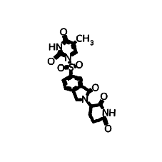 Cc1cn(S(=O)(=O)c2ccc3c(c2)C(=O)N(C2CCC(=O)NC2=O)C3)c(=O)[nH]c1=O